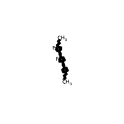 CCCCCc1ccc(C#Cc2ccc(C#Cc3ccc(CCCCC)c(F)c3)c(F)c2)cc1